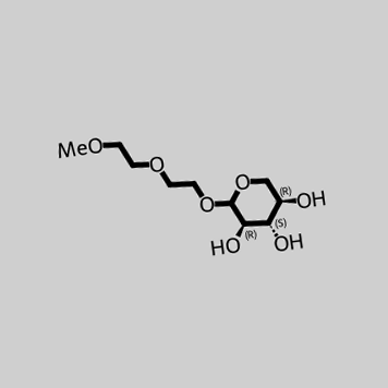 COCCOCCOC1OC[C@@H](O)[C@H](O)[C@H]1O